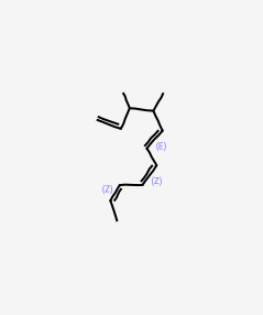 C=CC(C)C(C)/C=C/C=C\C=C/C